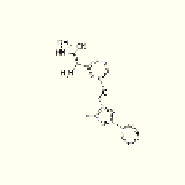 Cc1nc(-c2ccccc2)sc1COc1cccc(/C(N)=C(\C#N)NN)c1